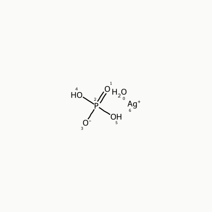 O.O=P([O-])(O)O.[Ag+]